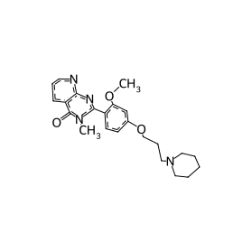 COc1cc(OCCCN2CCCCC2)ccc1-c1nc2ncccc2c(=O)n1C